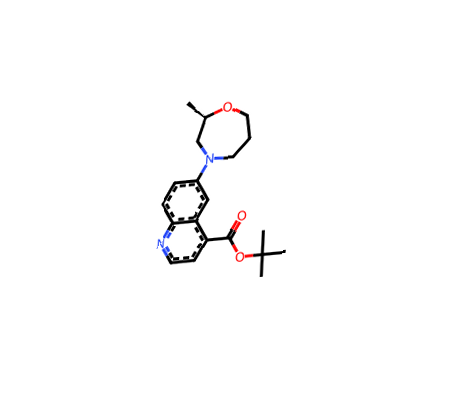 C[C@@H]1CN(c2ccc3nccc(C(=O)OC(C)(C)C)c3c2)CCCO1